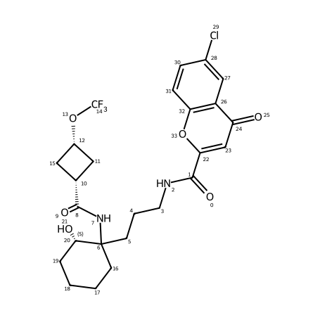 O=C(NCCCC1(NC(=O)[C@H]2C[C@@H](OC(F)(F)F)C2)CCCC[C@@H]1O)c1cc(=O)c2cc(Cl)ccc2o1